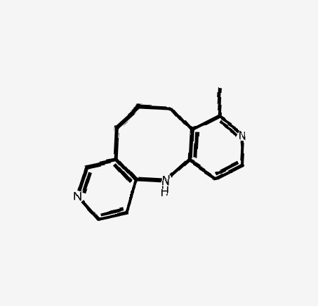 Cc1nccc2c1CCCc1cnccc1N2